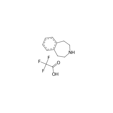 O=C(O)C(F)(F)F.c1ccc2c(c1)CCNCC2